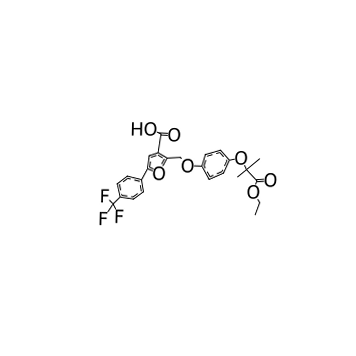 CCOC(=O)C(C)(C)Oc1ccc(OCc2oc(-c3ccc(C(F)(F)F)cc3)cc2C(=O)O)cc1